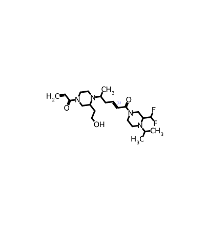 C=CC(=O)N1CCN(C(C)C/C=C/C(=O)N2CCN(C(C)C)C(C(F)F)C2)C(CCO)C1